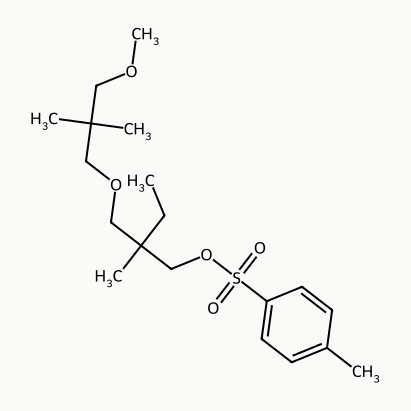 CCC(C)(COCC(C)(C)COC)COS(=O)(=O)c1ccc(C)cc1